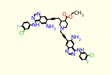 CCOC(=O)C1CCN(CC#Cc2cc3ncnc(Nc4ccc(F)c(Cl)c4)c3cc2N)CC1CC#Cc1cc2ncnc(Nc3ccc(F)c(Cl)c3)c2cc1N